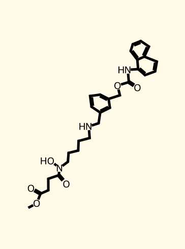 COC(=O)CCC(=O)N(O)CCCCCNCc1cccc(COC(=O)Nc2cccc3ccccc23)c1